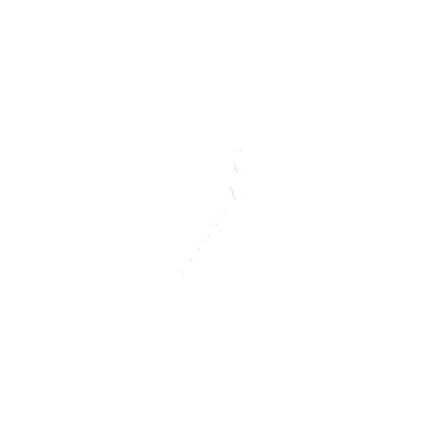 FC(F)(F)C=CC=CC(F)(F)C(F)(F)C(F)(F)C(F)(F)C(F)(F)C(F)(F)F